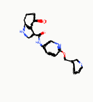 O=C(Nc1ccc(OCc2cccnc2)nc1)c1c[nH]c2c1C(=O)CCC2